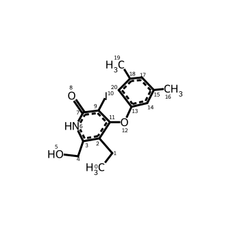 CCc1c(CO)[nH]c(=O)c(I)c1Oc1cc(C)cc(C)c1